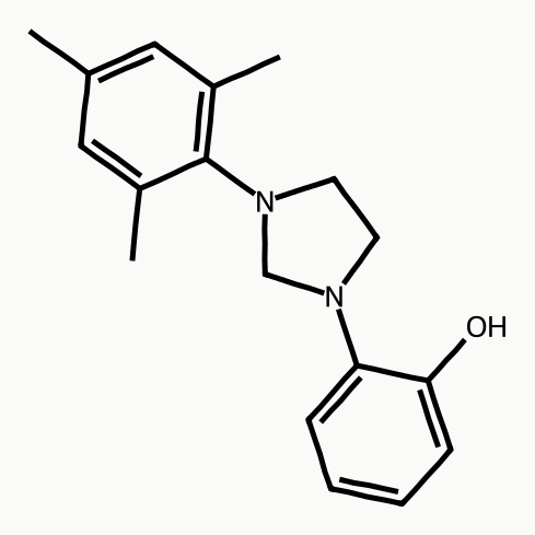 Cc1cc(C)c(N2CCN(c3ccccc3O)C2)c(C)c1